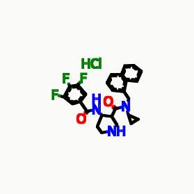 Cl.O=C(NC1CCNCC1C(=O)N(Cc1cccc2ccccc12)C1CC1)c1cc(F)c(F)c(F)c1